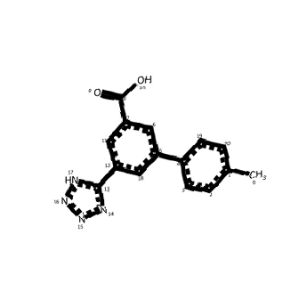 Cc1ccc(-c2cc(C(=O)O)cc(-c3nnn[nH]3)c2)cc1